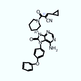 N#C/C(=C\C1CC1)C(=O)N1CCC[C@@H](n2c(=O)n(-c3ccc(Oc4ccccc4)cc3)c3c(N)ncnc32)C1